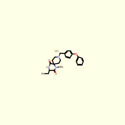 CCCCN1C(=O)C(CC(C)C)NC(=O)C12CCN(Cc1ccc(Oc3ccccc3)cc1)CC2.Cl